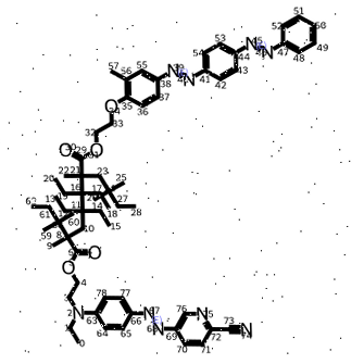 CCN(CCOC(=O)C(C)(CC(CC)(CC)C(CC)(CC)C(C)(CC(C)(C)CC)C(=O)OCCOc1ccc(/N=N/c2ccc(/N=N/c3ccccc3)cc2)cc1C)C(C)(C)CC)c1ccc(/N=N/c2ccc(C#N)nc2)cc1